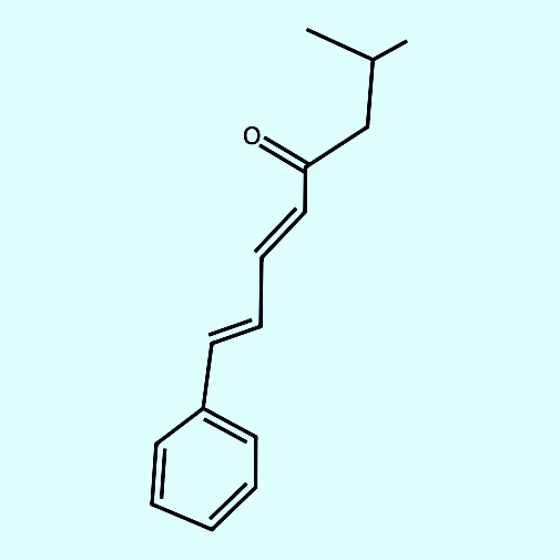 CC(C)CC(=O)C=CC=Cc1ccccc1